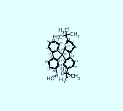 CC(C)(C)c1ccc2c(c1)C1(c3ccccc3-c3ccc(SO)cc31)c1cc(C(C)(C)C)ccc1-2